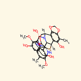 COc1cc2c(cc1O)CCN[C@]21S[C@@H]2c3c(O)c(C)c4c(c3[C@H](COC1=O)N1C2C2NC(Cc3cc(C)c(OC)c(O)c32)[C@@H]1O)OCO4